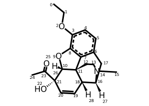 CCOc1ccc2c3c1O[C@@H]1[C@]34CCN(C)[C@H](C2)[C@@H]4C=C[C@@]1(O)C(C)=O